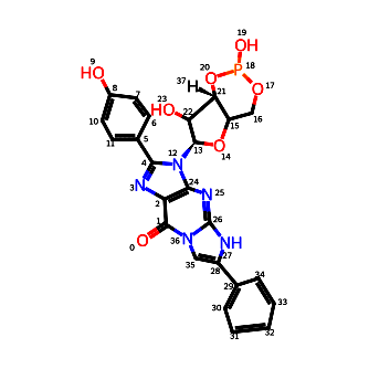 O=c1c2nc(-c3ccc(O)cc3)n([C@@H]3OC4COP(O)O[C@H]4C3O)c2nc2[nH]c(-c3ccccc3)cn12